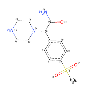 CCCCS(=O)(=O)c1ccc(C(C(N)=O)N2CCNCC2)cc1